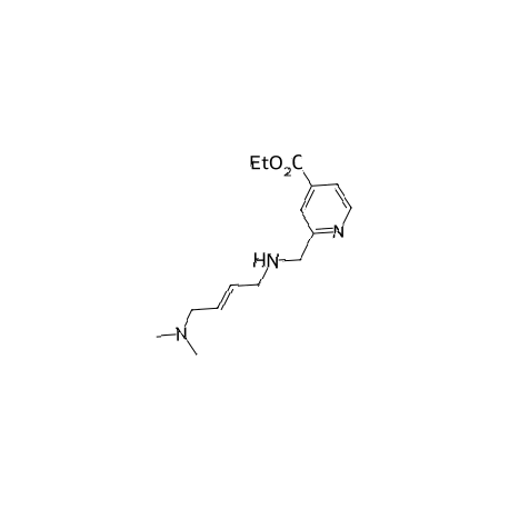 CCOC(=O)c1ccnc(CNCC=CCN(C)C)c1